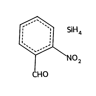 O=Cc1ccccc1[N+](=O)[O-].[SiH4]